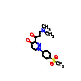 CN(C)C=CC(=O)c1nn(-c2ccc(S(=O)(=O)C(F)(F)F)cc2)ccc1=O